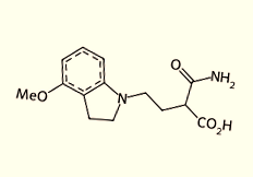 COc1cccc2c1CCN2CCC(C(N)=O)C(=O)O